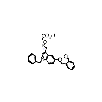 O=C(O)CO/N=C/c1cn(Cc2ccccc2)c2ccc(OCc3ccccc3Cl)cc12